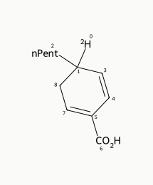 [2H]C1(CCCCC)C=CC(C(=O)O)=CC1